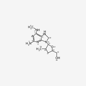 CNc1nc(N)nc2c1NCN2C1OC(CO)CC1C